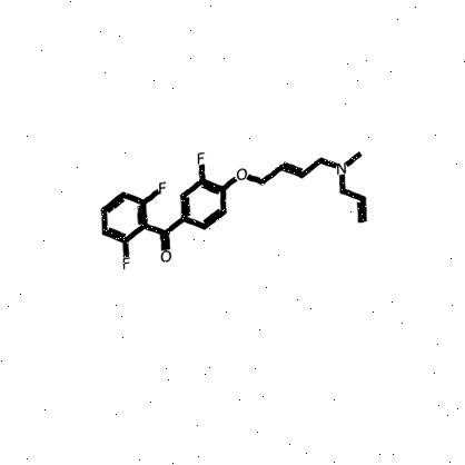 C=CCN(C)C/C=C/COc1ccc(C(=O)c2c(F)cccc2F)cc1F